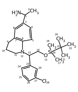 CC(N)c1ccc2c(c1)CCCN2C(CO[Si](C)(C)C(C)(C)C)c1cccc(Cl)c1